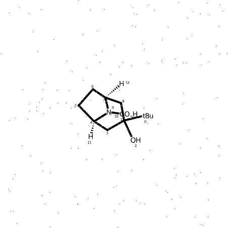 CC(C)(C)C1(O)C[C@H]2CC[C@@H](C1)N2C(=O)O